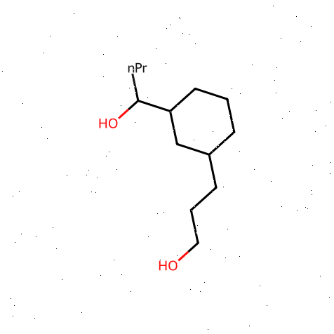 CCCC(O)C1CCCC(CCCO)C1